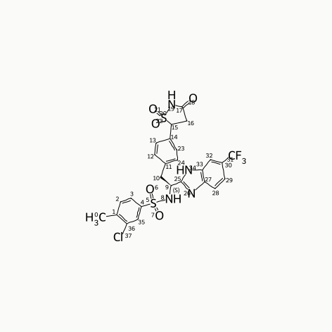 Cc1ccc(S(=O)(=O)N[C@@H](Cc2ccc(C3CC(=O)NS3(=O)=O)cc2)c2nc3ccc(C(F)(F)F)cc3[nH]2)cc1Cl